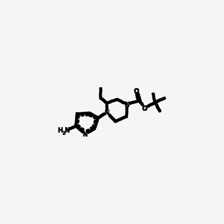 CCC1CN(C(=O)OC(C)(C)C)CCN1c1ccc(N)nc1